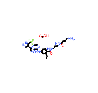 CCc1cc(Nc2nccn3c(-c4c[nH]nc4C(F)(F)F)cnc23)ccc1C(=O)NCCCNC(=O)CCCN.O=CO